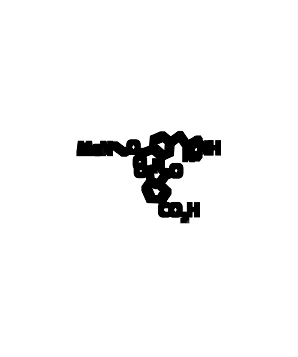 CNCCOC(=O)c1ccc(Cc2c[nH]cn2)cc1N1C(=O)c2ccc(C(=O)O)cc2C1=O